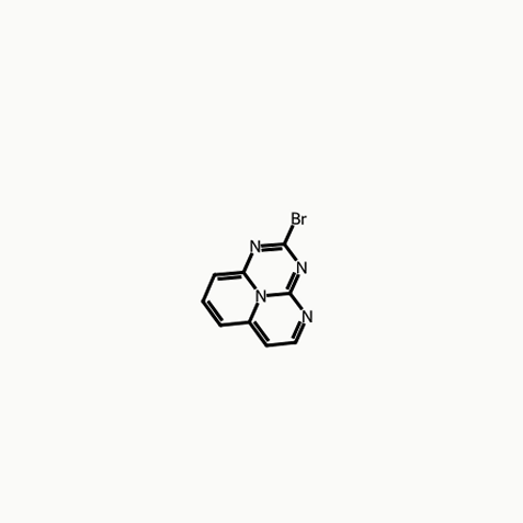 BrC1=NC2=CC=CC3=CC=NC(=N1)N32